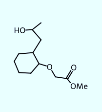 COC(=O)COC1CCCCC1CC(C)O